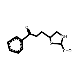 O=CC1NCC(CCC(=O)c2ccccc2)S1